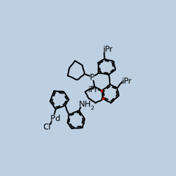 CC(C)c1ccc(-c2c(C(C)C)cccc2C(C)C)c(P(C2CCCCC2)C2CCCCC2)c1.Nc1ccccc1-c1cccc[c]1[Pd][Cl]